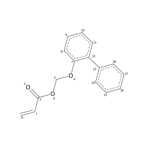 C=CC(=O)OCOc1ccccc1-c1ccccc1